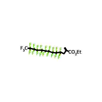 C=C(CC(F)(F)C(F)(F)C(F)(F)C(F)(F)C(F)(F)C(F)(F)C(F)(F)C(F)(F)C(F)(F)C(F)(F)F)C(=O)OCC